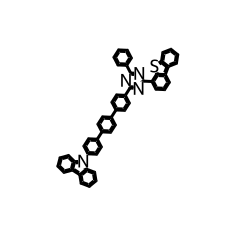 c1ccc(-c2nc(-c3ccc(-c4ccc(-c5ccc(-n6c7ccccc7c7ccccc76)cc5)cc4)cc3)nc(-c3cccc4c3sc3ccccc34)n2)cc1